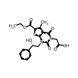 CCOC(=O)c1sc2c(c1C)c(=O)n(CC(=O)O)c(=O)n2C[C@@H](O)c1ccccc1